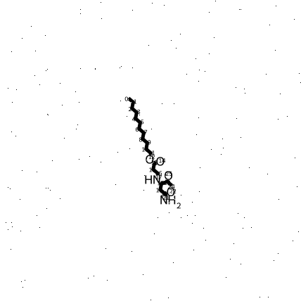 CCCCCCCCCCCCOC(=O)CCNC(CC(N)=O)C(C)=O